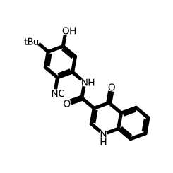 [C-]#[N+]c1cc(C(C)(C)C)c(O)cc1NC(=O)c1c[nH]c2ccccc2c1=O